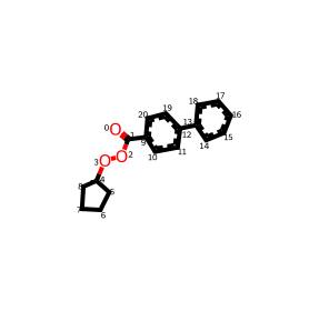 O=C(OO[C]1CCCC1)c1ccc(-c2ccccc2)cc1